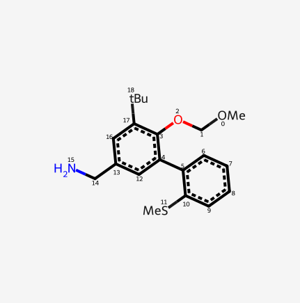 COCOc1c(-c2ccccc2SC)cc(CN)cc1C(C)(C)C